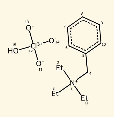 CC[N+](CC)(CC)Cc1ccccc1.[O-][Cl+3]([O-])([O-])O